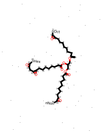 C=C(CCCCCCCC1OC1CCCCCCCC)OCC(COC(=O)CCCCCCCC1OC1CCCCCCCCC)OC(=O)CCCCCCCC1OC1CC1OC1CCCCCC